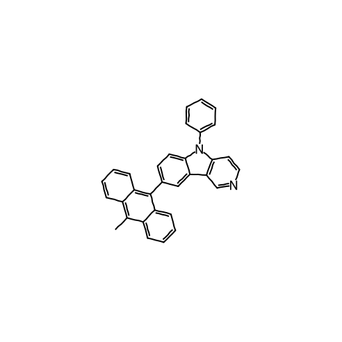 Cc1c2ccccc2c(-c2ccc3c(c2)c2cnccc2n3-c2ccccc2)c2ccccc12